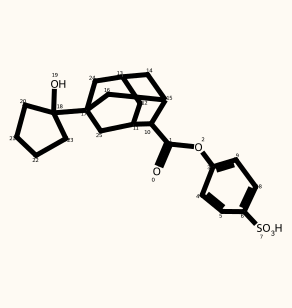 O=C(Oc1ccc(S(=O)(=O)O)cc1)C1C2CC3CC1CC(C1(O)CCCC1)(C3)C2